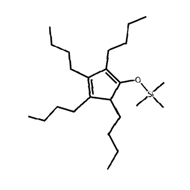 CCCCC1=C(CCCC)C(CCCC)C(O[Si](C)(C)C)=C1CCCC